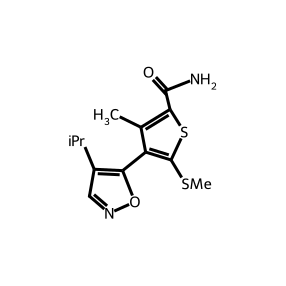 CSc1sc(C(N)=O)c(C)c1-c1oncc1C(C)C